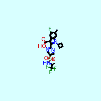 Cc1cc2c(cc1F)c(C(=O)O)c(-c1ncc(S(=O)(=O)N[C@@H](C)C(F)(F)F)cn1)n2C1CCC1